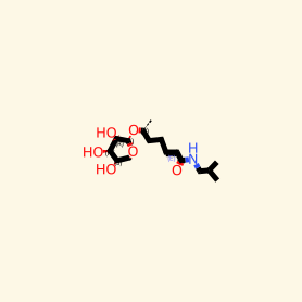 CC(C)CNC(=O)/C=C/CC[C@@H](C)O[C@@H]1OC[C@H](O)[C@@H](O)[C@H]1O